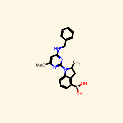 COc1cc(NCc2ccccc2)nc(N2c3cccc(B(O)O)c3CC2C)n1